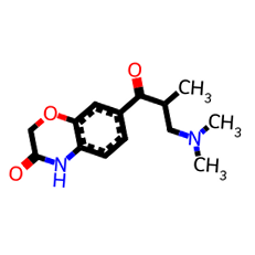 CC(CN(C)C)C(=O)c1ccc2c(c1)OCC(=O)N2